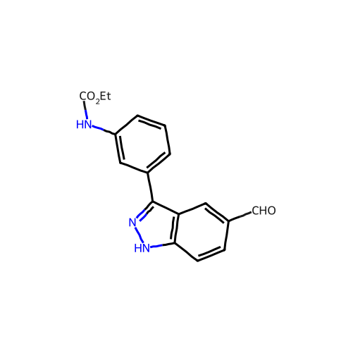 CCOC(=O)Nc1cccc(-c2n[nH]c3ccc(C=O)cc23)c1